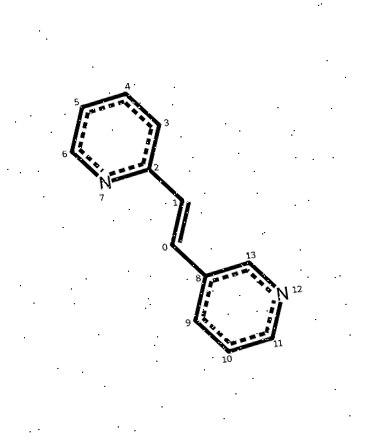 C(=Cc1ccccn1)c1cccnc1